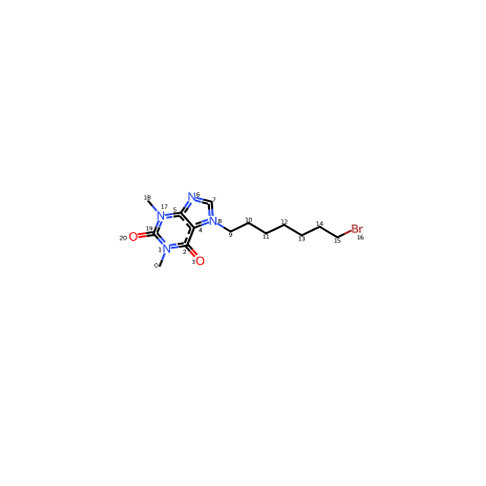 Cn1c(=O)c2c(ncn2CCCCCCCBr)n(C)c1=O